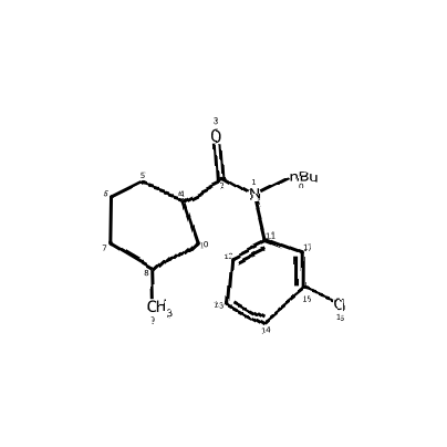 CCCCN(C(=O)C1CCCC(C)C1)c1cccc(Cl)c1